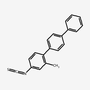 Cc1cc(N=C=S)ccc1-c1ccc(-c2ccccc2)cc1